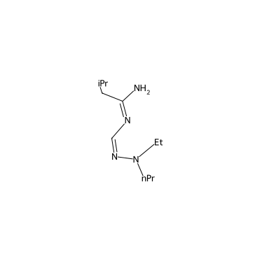 CCCN(CC)/N=C\N=C(\N)CC(C)C